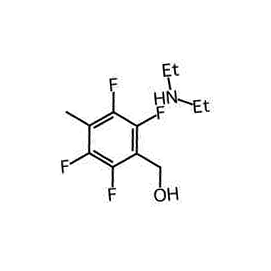 CCNCC.Cc1c(F)c(F)c(CO)c(F)c1F